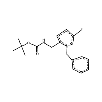 CC(C)(C)OC(=O)NCc1ccc(F)c[n+]1Cc1ccccc1